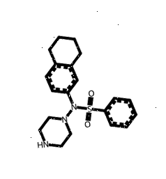 O=S(=O)(c1ccccc1)N(c1ccc2c(c1)CCCC2)N1CCNCC1